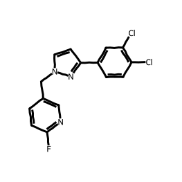 Fc1ccc(Cn2ccc(-c3ccc(Cl)c(Cl)c3)n2)cn1